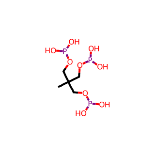 CC(COP(O)O)(COP(O)O)COP(O)O